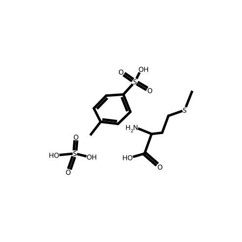 CSCCC(N)C(=O)O.Cc1ccc(S(=O)(=O)O)cc1.O=S(=O)(O)O